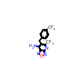 Nc1c(Cc2ccc(C(F)(F)F)cc2)c(C(F)(F)F)nc2nonc12